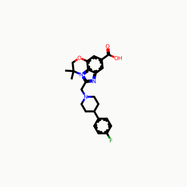 CC1(C)COc2cc(C(=O)O)cc3nc(CN4CCC(c5ccc(F)cc5)CC4)n1c23